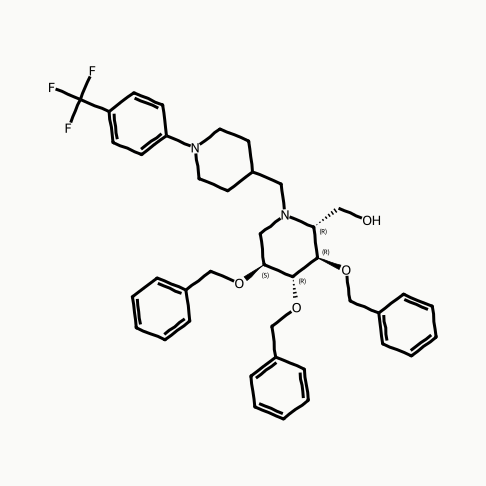 OC[C@@H]1[C@@H](OCc2ccccc2)[C@H](OCc2ccccc2)[C@@H](OCc2ccccc2)CN1CC1CCN(c2ccc(C(F)(F)F)cc2)CC1